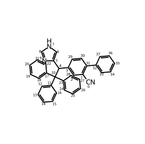 N#Cc1cc(C(c2c[nH]cn2)C(c2ccccc2)(c2ccccc2)c2ccccc2)ccc1-c1ccccc1